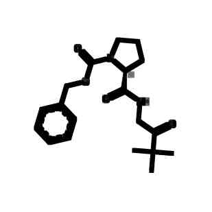 CC(C)(C)C(=O)CNC(=O)[C@@H]1CCCN1C(=O)OCc1ccccc1